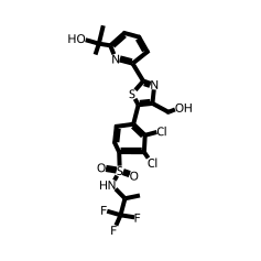 CC(NS(=O)(=O)c1ccc(-c2sc(-c3cccc(C(C)(C)O)n3)nc2CO)c(Cl)c1Cl)C(F)(F)F